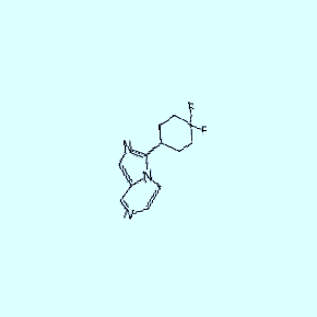 FC1(F)CCC(c2ncc3cnccn23)CC1